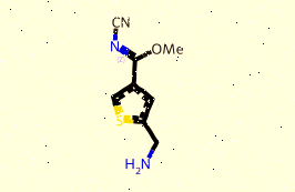 CO/C(=N\C#N)c1csc(CN)c1